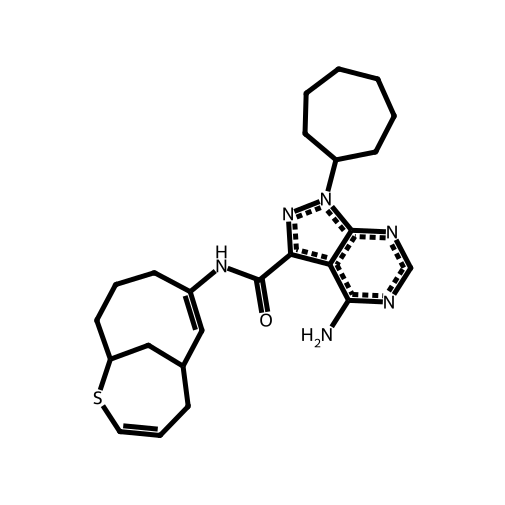 Nc1ncnc2c1c(C(=O)N/C1=C/C3CC=CSC(CCC1)C3)nn2C1CCCCCC1